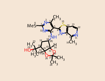 CSc1nc(C)c(-c2nc3c(C)nccc3s2)c(N[C@@H]2CC(C(C)(C)O)[C@H]3OC(C)(C)O[C@H]32)n1